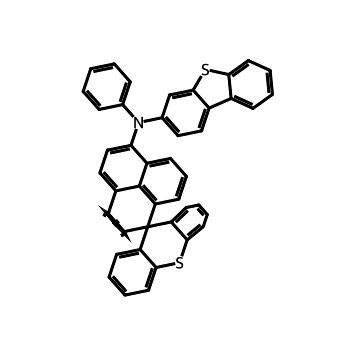 c1ccc(N(c2ccc3c(c2)sc2ccccc23)c2ccc3c4c(cccc24)C2(c4ccccc4Sc4ccccc42)c2ccccc2-3)cc1